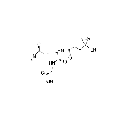 CC1(CCC(=O)NC(CCC(N)=O)C(=O)NCC(=O)O)N=N1